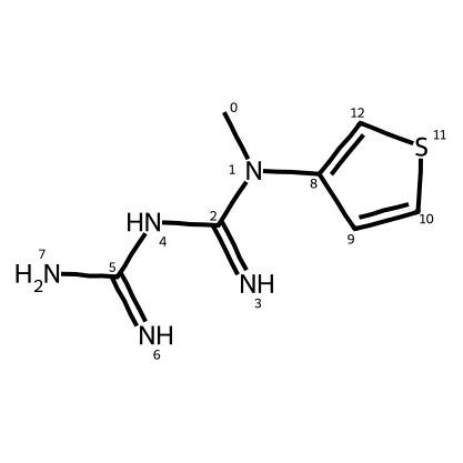 CN(C(=N)NC(=N)N)c1ccsc1